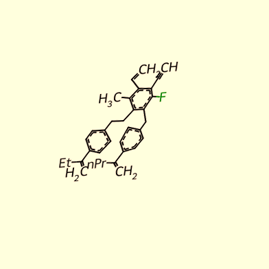 C#Cc1c(F)c(Cc2ccc(C(=C)CCC)cc2)c(CCc2ccc(C(=C)CC)cc2)c(C)c1C=C